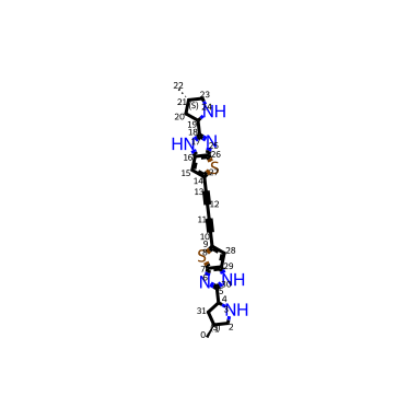 C[C@@H]1CNC(c2nc3sc(C#CC#Cc4cc5[nH]c(C6C[C@H](C)CN6)nc5s4)cc3[nH]2)C1